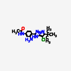 CC(=O)Nc1ccc(-c2nn3nc(C(C)(C)C)c(Cl)c3[nH]2)c(N)c1